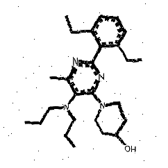 CCCN(CCC)c1c(C)nc(-c2c(CC)cccc2CC)nc1N1CCC(O)CC1